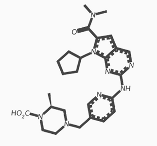 C[C@H]1CN(Cc2ccc(Nc3ncc4cc(C(=O)N(C)C)n(C5CCCC5)c4n3)nc2)CCN1C(=O)O